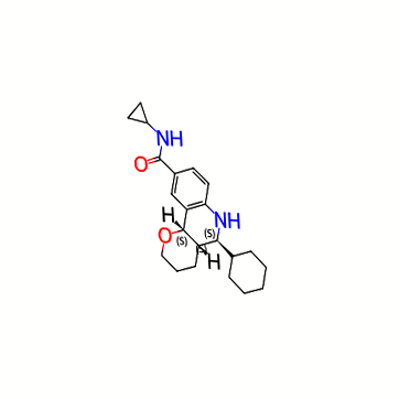 O=C(NC1CC1)c1ccc2c(c1)[C@H]1OCCC[C@H]1[C@H](C1CCCCC1)N2